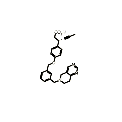 CC#C[C@@H](CC(=O)O)c1ccc(OCc2cccc(CN3CCc4ncncc4C3)c2)cc1